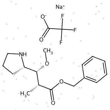 CO[C@@H]([C@@H]1CCCN1)[C@@H](C)C(=O)OCc1ccccc1.O=C([O-])C(F)(F)F.[Na+]